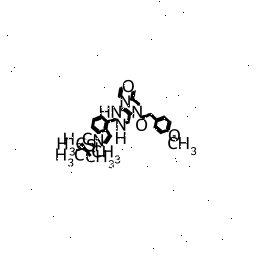 COc1ccc(CC(=O)N2CC3=COC=CN3C3=C2CNC(c2cccc4c2ccn4[Si](C)(C)C(C)(C)C)N3)cc1